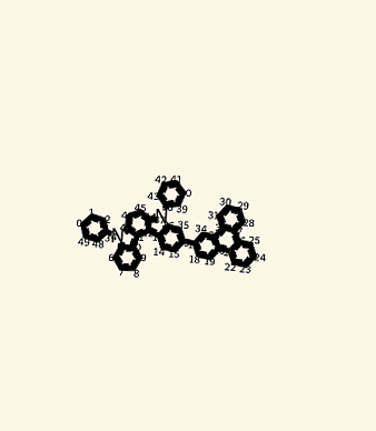 c1ccc(-n2c3ccccc3c3c4c5ccc(-c6ccc7c8ccccc8c8ccccc8c7c6)cc5n(-c5ccccc5)c4ccc32)cc1